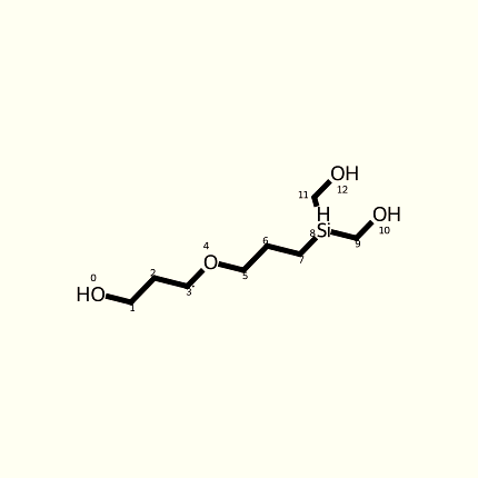 OCC[CH]OCCC[SiH](CO)CO